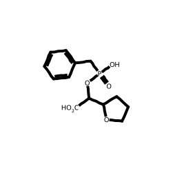 O=C(O)C(OP(=O)(O)Cc1ccccc1)C1CCCO1